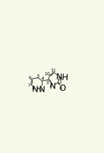 O=c1nc(C2CC=CN=N2)cc[nH]1